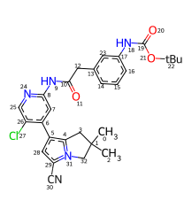 CC1(C)Cc2c(-c3cc(NC(=O)Cc4cccc(NC(=O)OC(C)(C)C)c4)ncc3Cl)cc(C#N)n2C1